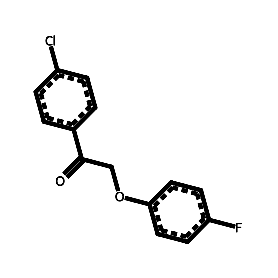 O=C(COc1ccc(F)cc1)c1ccc(Cl)cc1